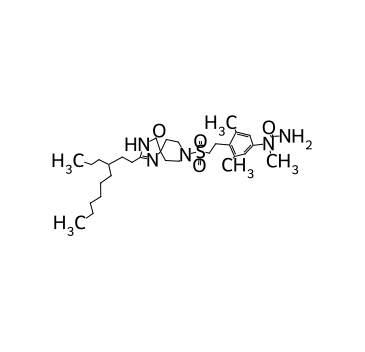 CCCCCCC(CCC)CCC1=NC2(CCN(S(=O)(=O)CCc3c(C)cc(N(C)C(N)=O)cc3C)CC2)C(=O)N1